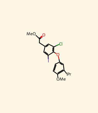 COC(=O)Cc1cc(Cl)c(Oc2ccc(OC)c(C(C)C)c2)c(I)c1